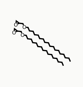 CCCCCCCCCCCCCCCCCCOCC1CO1.CCCCCCCCCCCCCCCCOCC1CO1